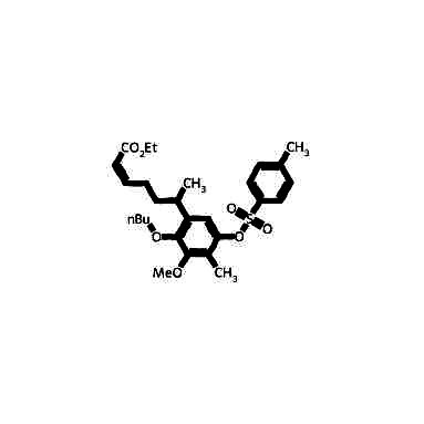 CCCCOc1c(C(C)CC/C=C\C(=O)OCC)cc(OS(=O)(=O)c2ccc(C)cc2)c(C)c1OC